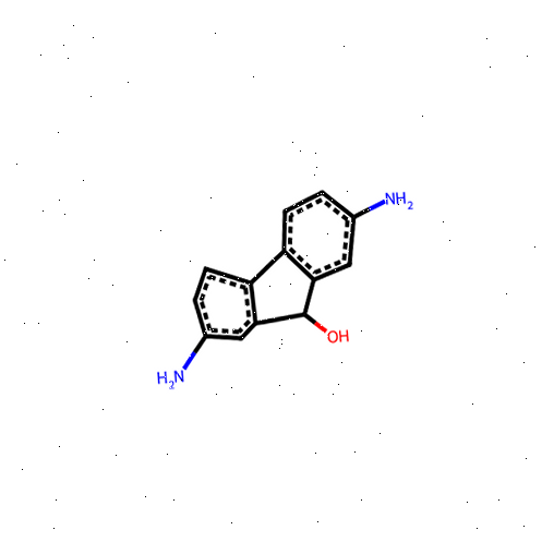 Nc1ccc2c(c1)C(O)c1cc(N)ccc1-2